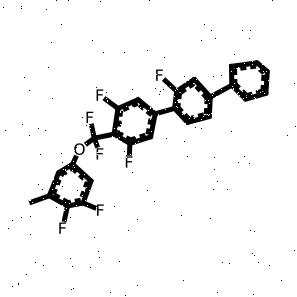 Cc1cc(OC(F)(F)c2c(F)cc(-c3ccc(-c4ccccc4)cc3F)cc2F)cc(F)c1F